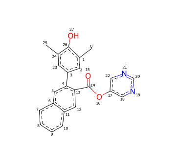 Cc1cc(-c2cc3ccccc3cc2C(=O)Oc2cncnc2)cc(C)c1O